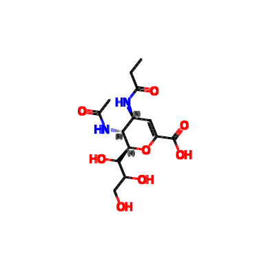 CCC(=O)N[C@H]1C=C(C(=O)O)O[C@@H](C(O)C(O)CO)[C@@H]1NC(C)=O